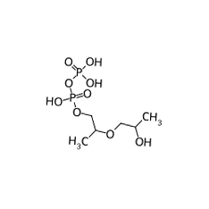 CC(O)COC(C)COP(=O)(O)OP(=O)(O)O